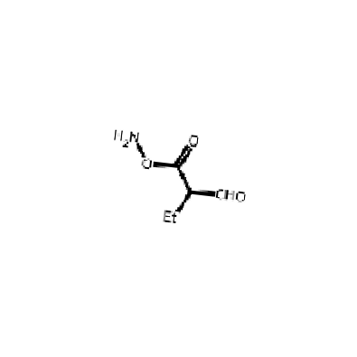 CCC(C=O)C(=O)ON